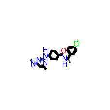 Cc1cc(N(C)C)nc(NC2CCC(C(=O)N[C@H](C)c3ccc(Cl)cc3)CC2)n1